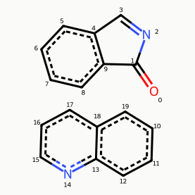 O=C1N=Cc2ccccc21.c1ccc2ncccc2c1